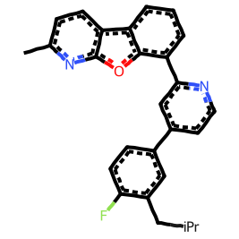 Cc1ccc2c(n1)oc1c(-c3cc(-c4ccc(F)c(CC(C)C)c4)ccn3)cccc12